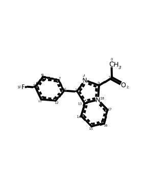 CC(=O)c1nc(-c2ccc(F)cc2)c2ccccn12